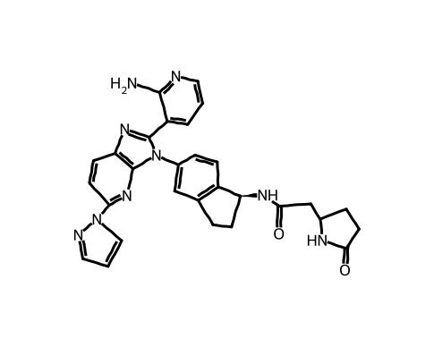 Nc1ncccc1-c1nc2ccc(-n3cccn3)nc2n1-c1ccc2c(c1)CC[C@@H]2NC(=O)CC1CCC(=O)N1